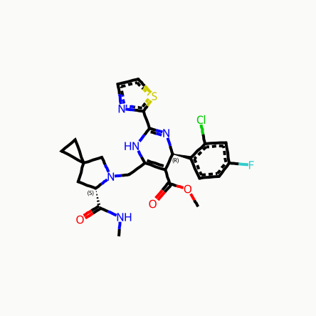 CNC(=O)[C@@H]1CC2(CC2)CN1CC1=C(C(=O)OC)[C@H](c2ccc(F)cc2Cl)N=C(c2nccs2)N1